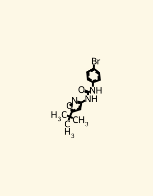 CC(C)(C)c1cc(NC(=O)Nc2ccc(Br)cc2)no1